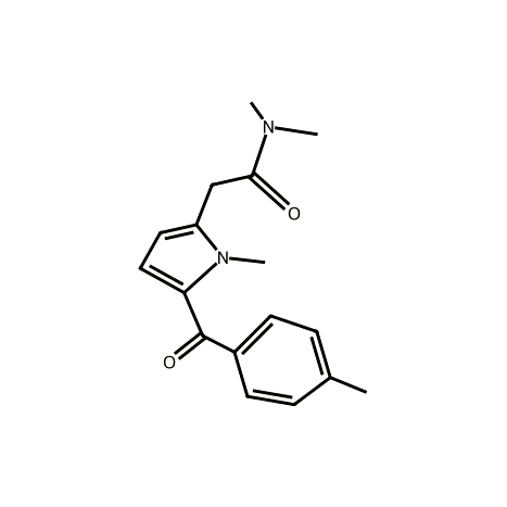 Cc1ccc(C(=O)c2ccc(CC(=O)N(C)C)n2C)cc1